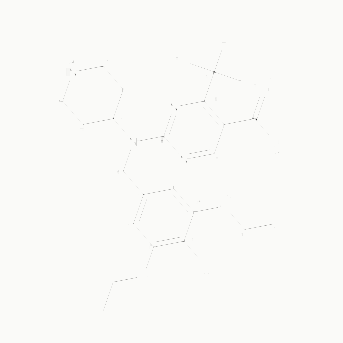 CCOc1cc(CN(c2ncc(C(=O)O)c(C(F)(F)F)n2)C2CCNCC2)cc(OCC)c1F